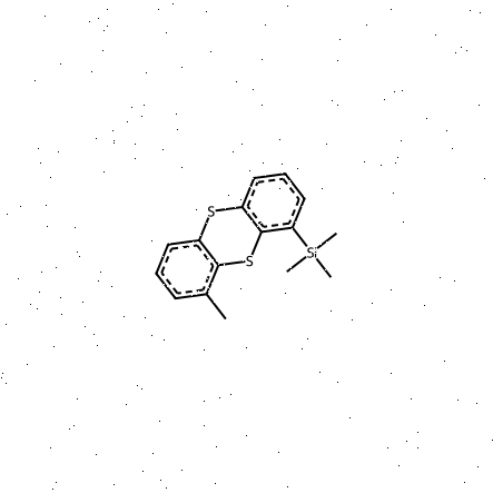 Cc1cccc2c1Sc1c(cccc1[Si](C)(C)C)S2